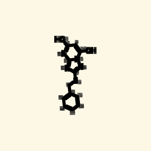 Oc1cc(O)n2nc(SCc3ccccc3)nc2n1